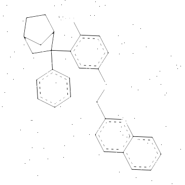 COc1ccc(OCc2ccc3ccccc3n2)cc1C1(c2ccccc2)CC2CCC1C2